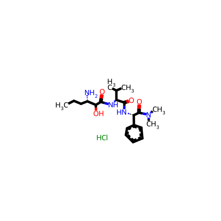 CCC[C@H](N)C(O)C(=O)N[C@H](C(=O)N[C@H](C(=O)N(C)C)c1ccccc1)C(C)C.Cl